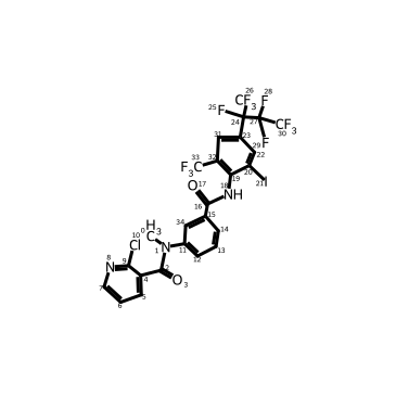 CN(C(=O)c1cccnc1Cl)c1cccc(C(=O)Nc2c(I)cc(C(F)(C(F)(F)F)C(F)(F)C(F)(F)F)cc2C(F)(F)F)c1